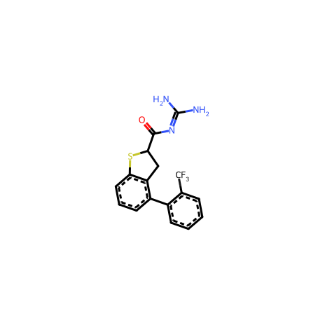 NC(N)=NC(=O)C1Cc2c(cccc2-c2ccccc2C(F)(F)F)S1